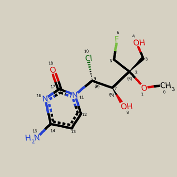 CO[C@@](CO)(CF)[C@@H](O)[C@@H](Cl)n1ccc(N)nc1=O